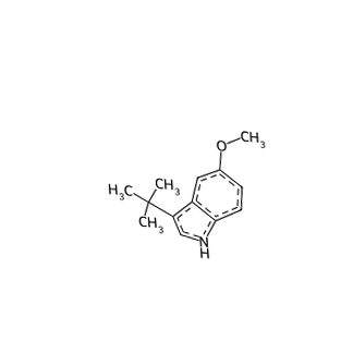 COc1ccc2[nH]cc(C(C)(C)C)c2c1